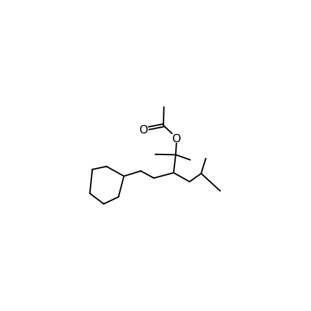 CC(=O)OC(C)(C)C(CCC1CCCCC1)CC(C)C